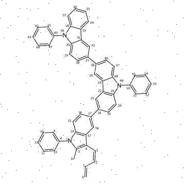 C=C/C=C\c1c(C)n(-c2ccccc2)c2ccc(-c3ccc4c(c3)c3cc(-c5ccc6c(c5)c5ccccc5n6-c5ccccc5)ccc3n4-c3ccccc3)cc12